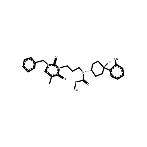 Cc1cn(Cc2ccccc2)c(=O)n(CCCN(C(=O)OC(C)(C)C)[C@H]2CC[C@@](C#N)(c3ccccc3C#N)CC2)c1=O